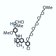 COCCOCCOCCOCCOCCOCCOc1ccc(Cl)cc1-c1ccc2c(NCc3ccc(OC)cc3OC)nnc(C)c2c1.O=CO